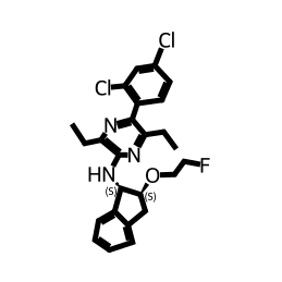 CCc1nc(-c2ccc(Cl)cc2Cl)c(CC)nc1N[C@H]1c2ccccc2C[C@@H]1OCCF